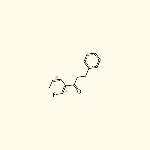 C/C=C\C(=C/F)C(=O)CCc1ccccc1